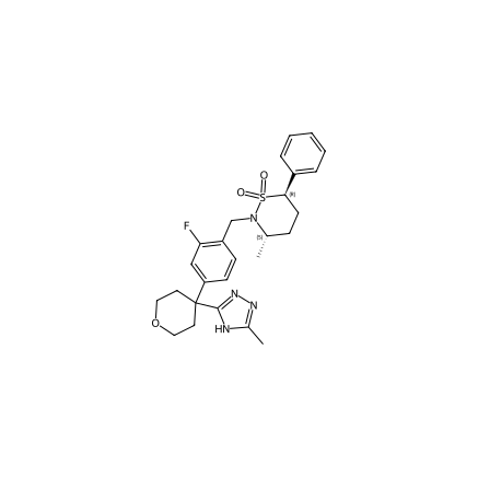 Cc1nnc(C2(c3ccc(CN4[C@@H](C)CC[C@H](c5ccccc5)S4(=O)=O)c(F)c3)CCOCC2)[nH]1